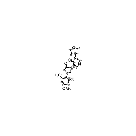 COc1cc(C)c([C@H]2CC(=O)N(c3cncn(C4CCOCC4)c3=O)C2)c(F)c1